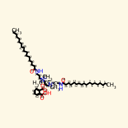 CCCCCCCCCCCCCCCCCC(=O)NCCC[N+](C)(C)CC(C[N+](C)(C)CCCNC(=O)CCCCCCCCCCCCCCCCC)OC(=O)c1ccccc1C(=O)O